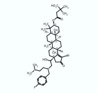 CC(C)C1=C2[C@H]3CC[C@@H]4[C@@]5(C)CC[C@H](OC(=O)CC(C)(C)C(=O)O)C(C)(C)[C@@H]5CC[C@@]4(C)[C@]3(C)CC[C@@]2(C(O)CN(CCN(C)C)Cc2ccc(F)cc2)CC1=O